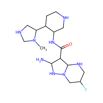 CN1CNCC1C1CCNCC1NC(=O)C1C(N)NN2CC(F)CNC12